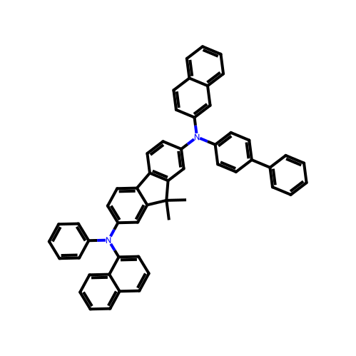 CC1(C)c2cc(N(c3ccc(-c4ccccc4)cc3)c3ccc4ccccc4c3)ccc2-c2ccc(N(c3ccccc3)c3cccc4ccccc34)cc21